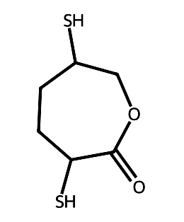 O=C1OCC(S)CCC1S